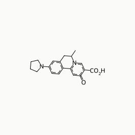 CC1Cc2cc(N3CCCC3)ccc2-c2cc(=O)c(C(=O)O)cn21